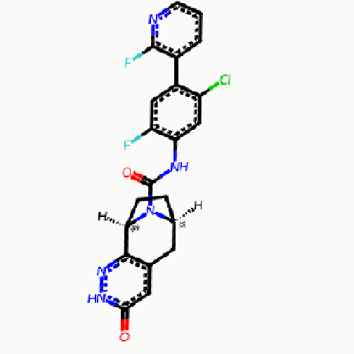 O=C(Nc1cc(Cl)c(-c2cccnc2F)cc1F)N1[C@H]2CC[C@@H]1c1n[nH]c(=O)cc1C2